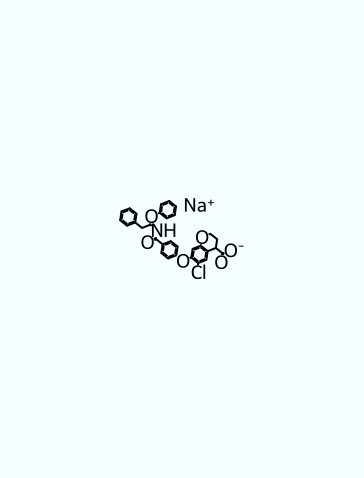 O=C(NC(Cc1ccccc1)Oc1ccccc1)c1ccc(Oc2cc3c(cc2Cl)C(C(=O)[O-])CCO3)cc1.[Na+]